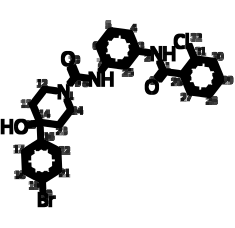 O=C(Nc1cccc(NC(=O)N2CCC(O)(c3ccc(Br)cc3)CC2)c1)c1ccccc1Cl